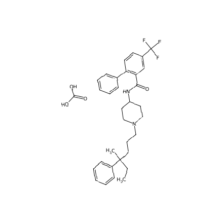 CCC(C)(CCCN1CCC(NC(=O)c2cc(C(F)(F)F)ccc2-c2ccccc2)CC1)c1ccccc1.O=C(O)O